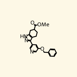 COC(=O)C1CCc2c(-c3cncc(OCc4ccccc4)c3)n[nH]c2C1